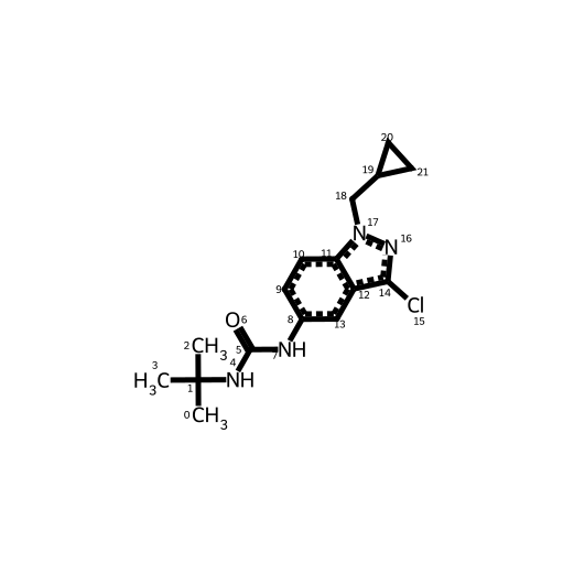 CC(C)(C)NC(=O)Nc1ccc2c(c1)c(Cl)nn2CC1CC1